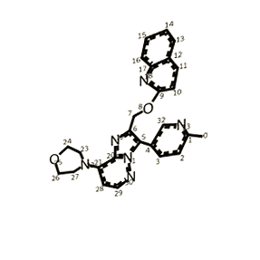 Cc1ccc(-c2c(COc3ccc4ccccc4n3)nc3c(N4CCOCC4)ccnn23)cn1